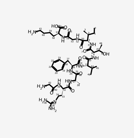 CC[C@H](C)[C@H](NC(=O)[C@@H](NC(=O)[C@@H](NC(=O)[C@H](Cc1ccccc1)NC(=O)[C@H](C)NC(=O)[C@H](CCN=C(N)N)NC(=O)CN)C(C)C)[C@@H](C)O)C(=O)NCC(=O)N[C@@H](CCCCN)C(=O)O